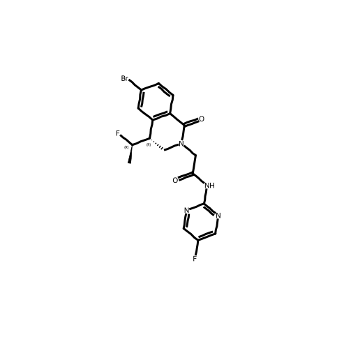 C[C@@H](F)[C@H]1CN(CC(=O)Nc2ncc(F)cn2)C(=O)c2ccc(Br)cc21